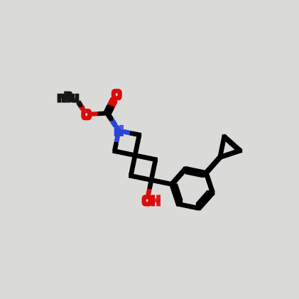 CCCCOC(=O)N1CC2(C1)CC(O)(c1cccc(C3CC3)c1)C2